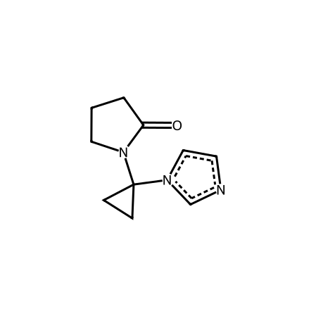 O=C1CCCN1C1(n2ccnc2)CC1